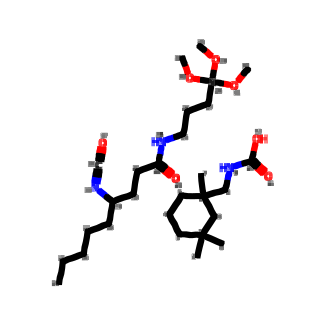 CC1(C)CCCC(C)(CNC(=O)O)C1.CCCCCC(CCC(=O)NCCC[Si](OC)(OC)OC)N=C=O